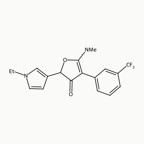 CCn1ccc(C2OC(NC)=C(c3cccc(C(F)(F)F)c3)C2=O)c1